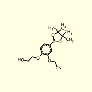 CC1(C)OB(c2ccc(OCCO)c(OCC#N)c2)OC1(C)C